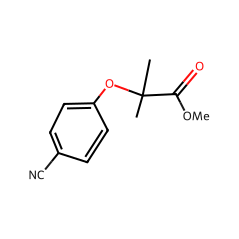 COC(=O)C(C)(C)Oc1ccc(C#N)cc1